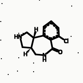 O=C1NC[C@H]2CNC[C@@H]2c2cccc(Cl)c21